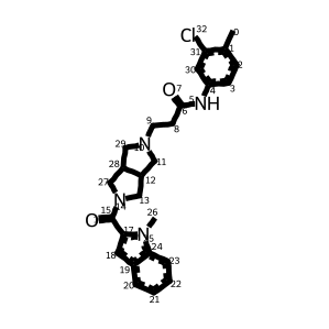 Cc1ccc(NC(=O)CCN2CC3CN(C(=O)c4cc5ccccc5n4C)CC3C2)cc1Cl